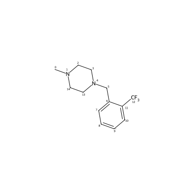 CN1CCN(Cc2cc[c]cc2C(F)(F)F)CC1